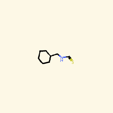 S=[C]NCC1CCCCC1